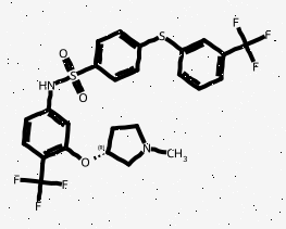 CN1CC[C@@H](Oc2cc(NS(=O)(=O)c3ccc(Sc4cccc(C(F)(F)F)c4)cc3)ccc2C(F)(F)F)C1